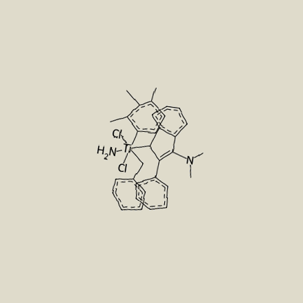 Cc1cc[c]([Ti]([NH2])([Cl])([Cl])([CH2]c2ccccc2)[CH]2C(c3ccccc3)=C(N(C)C)c3ccccc32)c(C)c1C